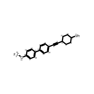 CCCC1CCC(C#Cc2ccc(-c3ccc(OC(F)(F)F)cc3)cc2)CC1